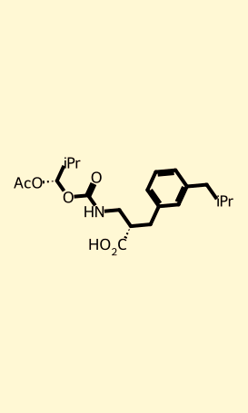 CC(=O)O[C@@H](OC(=O)NC[C@H](Cc1cccc(CC(C)C)c1)C(=O)O)C(C)C